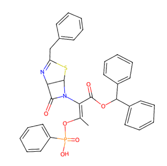 CC(OP(=O)(O)c1ccccc1)=C(C(=O)OC(c1ccccc1)c1ccccc1)N1C(=O)C2N=C(Cc3ccccc3)SC21